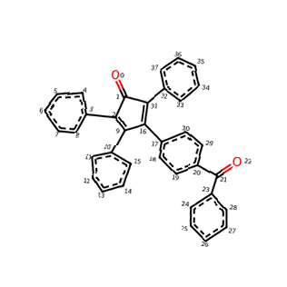 O=C1C(c2ccccc2)=C(c2ccccc2)C(c2ccc(C(=O)c3ccccc3)cc2)=C1c1ccccc1